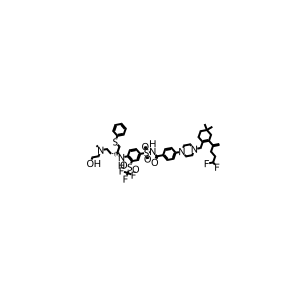 C=C(CCC(F)F)C1=C(CN2CCN(c3ccc(C(=O)NS(=O)(=O)c4ccc(N[C@H](CCN(C)CCO)CSc5ccccc5)c(S(=O)(=O)C(F)(F)F)c4)cc3)CC2)CCC(C)(C)C1